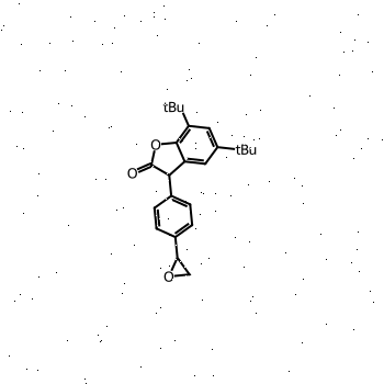 CC(C)(C)c1cc2c(c(C(C)(C)C)c1)OC(=O)C2c1ccc(C2CO2)cc1